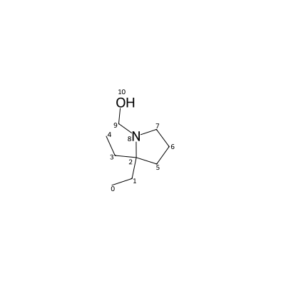 CCC1(CC)CCCN1CO